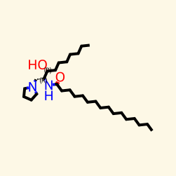 CCCCCCCCCCCCCCCC(=O)N[C@H](CN1CCCC1)[C@H](O)CCCCCCC